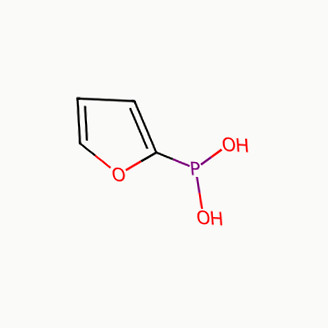 OP(O)c1ccco1